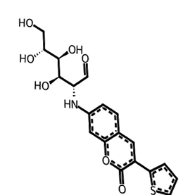 O=C[C@H](Nc1ccc2cc(-c3cccs3)c(=O)oc2c1)[C@@H](O)[C@H](O)[C@H](O)CO